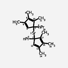 CCC[C]1([Sr][C]2(CCC)C=C(C)C(C)=C2C)C=C(C)C(C)=C1C